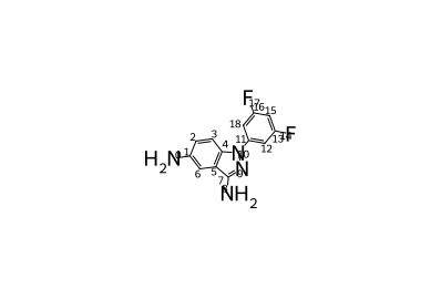 Nc1ccc2c(c1)c(N)nn2-c1cc(F)cc(F)c1